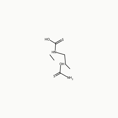 CC.CCCNC(O)=S.NC(O)=S